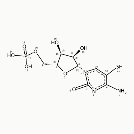 Nc1nc(=O)n([C@@H]2O[C@H](COP(=O)(O)O)[C@@H](O)[C@H]2O)cc1S